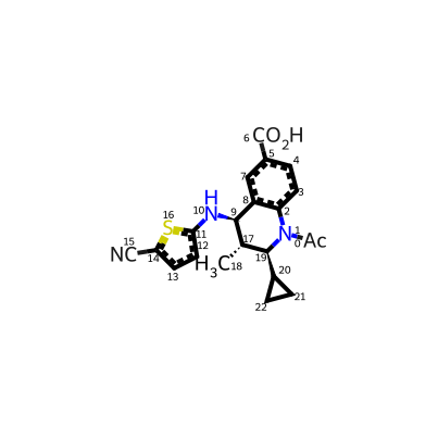 CC(=O)N1c2ccc(C(=O)O)cc2[C@H](Nc2ccc(C#N)s2)[C@@H](C)[C@@H]1C1CC1